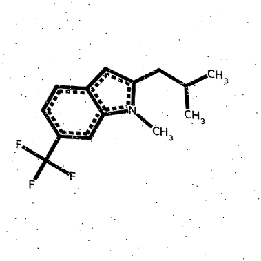 CC(C)Cc1cc2ccc(C(F)(F)F)cc2n1C